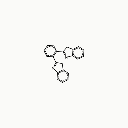 c1ccc2c(c1)CC(c1ccccc1C1=Nc3ccccc3C1)=N2